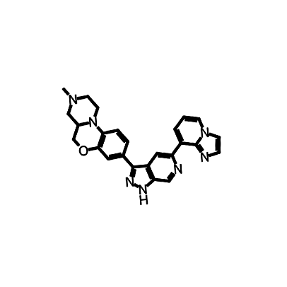 CN1CCN2c3ccc(-c4n[nH]c5cnc(-c6cccn7ccnc67)cc45)cc3OCC2C1